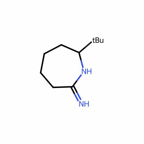 CC(C)(C)C1CCCCC(=N)N1